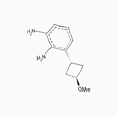 CO[C@H]1C[C@H](c2cccc(N)c2N)C1